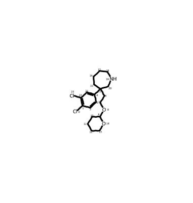 Clc1ccc(C2(CCOC3CCCCO3)CCCCNC2)cc1Cl